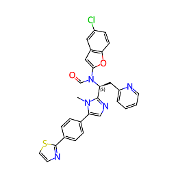 Cn1c(-c2ccc(-c3nccs3)cc2)cnc1[C@H](Cc1ccccn1)N(C=O)c1cc2cc(Cl)ccc2o1